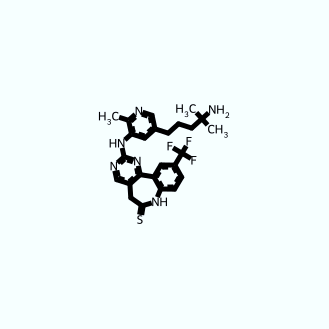 Cc1ncc(CCCC(C)(C)N)cc1Nc1ncc2c(n1)-c1cc(C(F)(F)F)ccc1NC(=S)C2